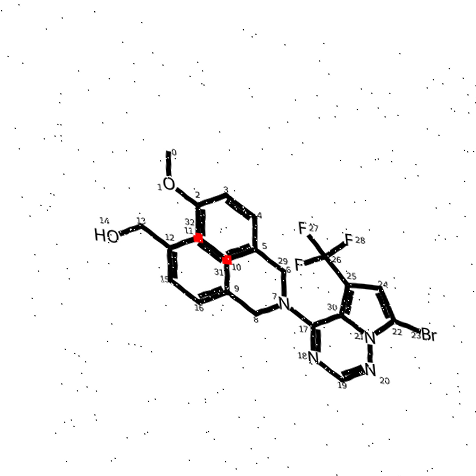 COc1ccc(CN(Cc2ccc(CO)cc2)c2ncnn3c(Br)cc(C(F)(F)F)c23)cc1